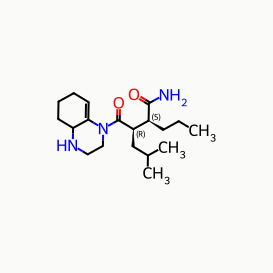 CCC[C@H](C(N)=O)[C@@H](CC(C)C)C(=O)N1CCNC2CCCC=C21